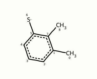 Cc1cccc([S])c1C